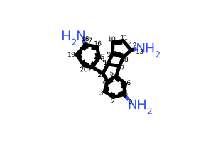 Nc1ccc2c(c1)C1C3=C(C=CC3N)[C@@]13c1cc(N)ccc1C23